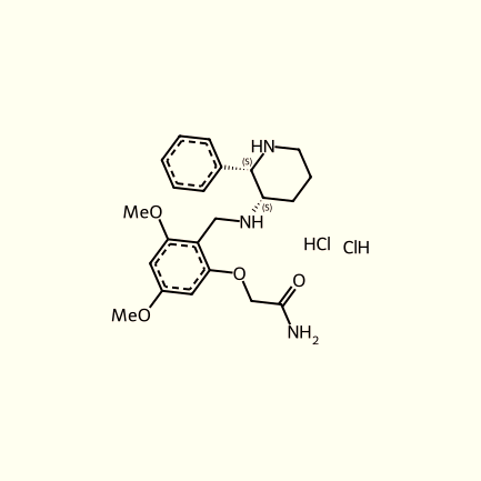 COc1cc(OC)c(CN[C@H]2CCCN[C@H]2c2ccccc2)c(OCC(N)=O)c1.Cl.Cl